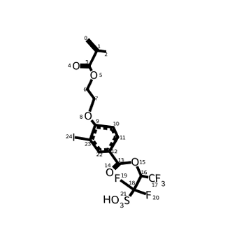 C=C(C)C(=O)OCCOc1ccc(C(=O)OC(C(F)(F)F)C(F)(F)S(=O)(=O)O)cc1I